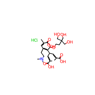 CC(=CC(CCN(C)C)=C(C(=O)OCCC(CO)(CO)CO)C(C=C(C)C(=O)O)C=C(C)C(=O)O)C(=O)O.Cl